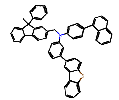 CC1(c2ccccc2)c2ccccc2-c2ccc(CN(c3ccc(-c4cccc5ccccc45)cc3)c3cccc(-c4ccc5sc6ccccc6c5c4)c3)cc21